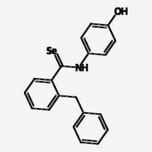 Oc1ccc(NC(=[Se])c2ccccc2Cc2ccccc2)cc1